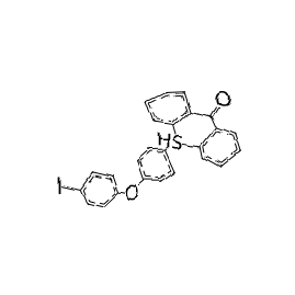 O=C1c2ccccc2[SH](c2ccc(Oc3ccc(I)cc3)cc2)c2ccccc21